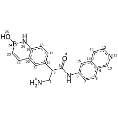 NCC(C(=O)Nc1ccc2cnccc2c1)c1ccc2c(c1)C=CB(O)N2